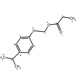 CCC(=O)OCOc1ccc(C(C)C)cc1